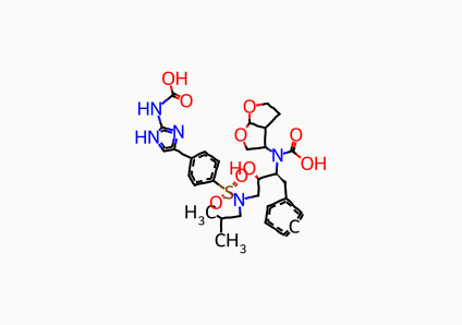 CC(C)CN(C[C@@H](O)[C@H](Cc1ccccc1)N(C(=O)O)C1COC2OCCC21)S(=O)(=O)c1ccc(-c2c[nH]c(NC(=O)O)n2)cc1